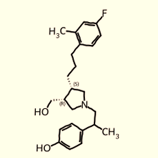 Cc1cc(F)ccc1CCC[C@@H]1CN(CC(C)c2ccc(O)cc2)C[C@@H]1CO